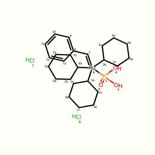 Cl.Cl.O=[P](O)(O)[Ru](=[CH]c1ccccc1)([CH]1CCCCC1)([CH]1CCCCC1)[CH]1CCCCC1